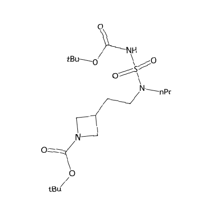 CCCN(CCC1CN(C(=O)OC(C)(C)C)C1)S(=O)(=O)NC(=O)OC(C)(C)C